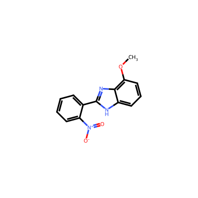 COc1cccc2[nH]c(-c3ccccc3[N+](=O)[O-])nc12